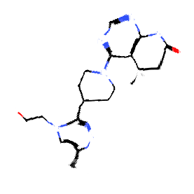 C[C@@H]1CC(=O)Nc2ncnc(N3CCC(c4nc(C(F)(F)F)cn4CCO)CC3)c21